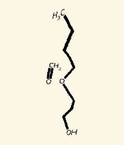 C=O.CCCCOCCO